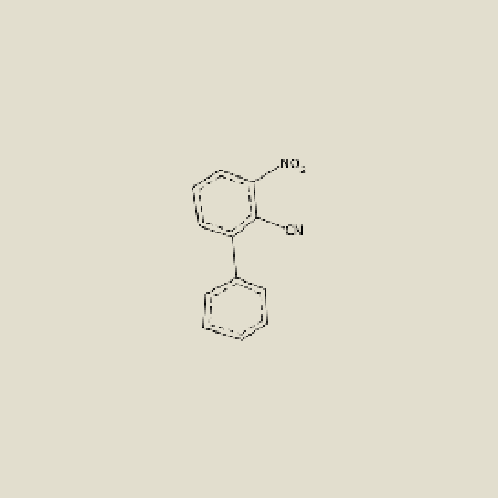 N#Cc1c(-c2ccccc2)cccc1[N+](=O)[O-]